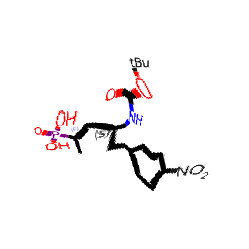 C/C(=C\[C@H](Cc1ccc([N+](=O)[O-])cc1)NC(=O)OC(C)(C)C)P(=O)(O)O